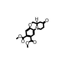 COC(=O)c1cc2c(cc1C(=O)OC)N1CCC(=O)C[C@H]1CO2